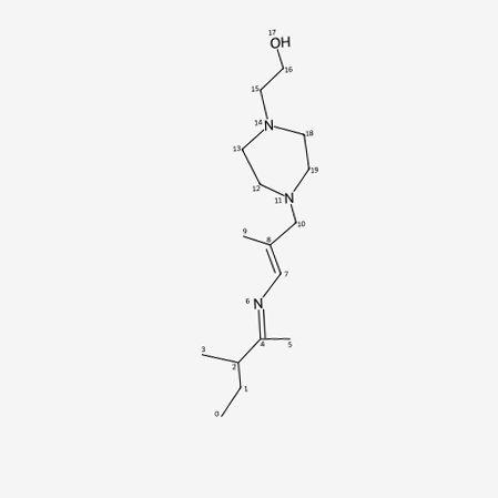 CCC(C)/C(C)=N/C=C(\C)CN1CCN(CCO)CC1